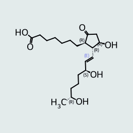 C[C@@H](O)CCC[C@H](O)/C=C/[C@H]1[C@H](O)CC(=O)[C@@H]1CCCCCCC(=O)O